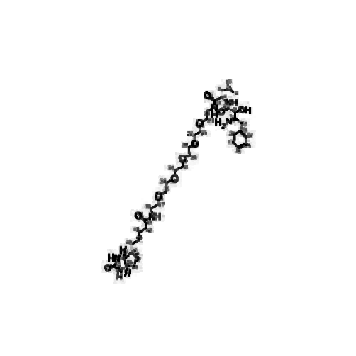 CC(C)C[C@H](NC(=O)[C@@H](O)[C@H](N)Cc1ccccc1)C(=O)NCCOCCOCCOCCOCCOCCNC(=O)CCCC[C@@H]1SC[C@@H]2NC(=O)N[C@@H]21